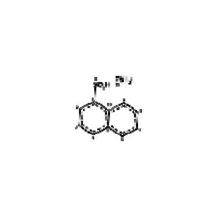 O=S(=O)(O)c1cccc2ccccc12.[PbH2]